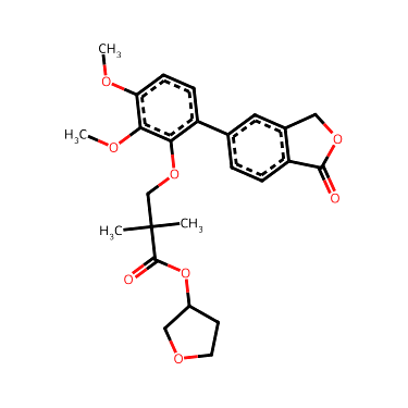 COc1ccc(-c2ccc3c(c2)COC3=O)c(OCC(C)(C)C(=O)OC2CCOC2)c1OC